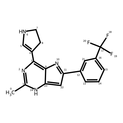 Cc1nc(C2=CNCC2)c2nc(-c3cccc(C(F)(F)F)c3)cc-2[nH]1